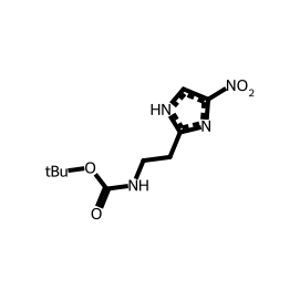 CC(C)(C)OC(=O)NCCc1nc([N+](=O)[O-])c[nH]1